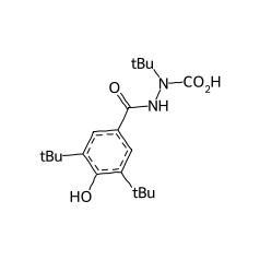 CC(C)(C)c1cc(C(=O)NN(C(=O)O)C(C)(C)C)cc(C(C)(C)C)c1O